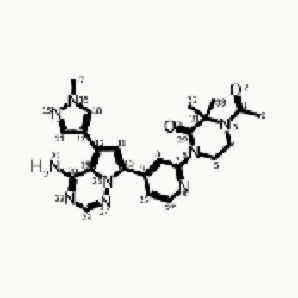 CC(=O)N1CCN(c2cc(-c3cc(-c4cnn(C)c4)c4c(N)ncnn34)ccn2)C(=O)C1(C)C